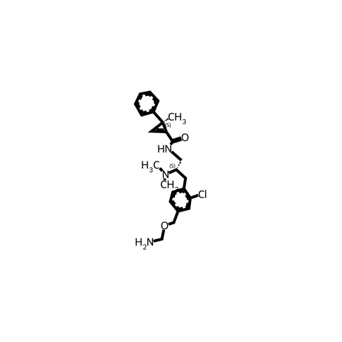 CN(C)[C@H](CNC(=O)C1=C[C@@]1(C)c1ccccc1)Cc1ccc(COCN)cc1Cl